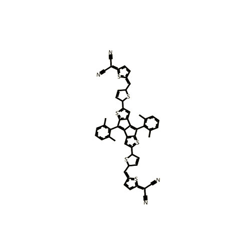 Cc1cccc(C)c1C1=C2C(=C(c3c(C)cccc3C)c3sc(C4C=CC(/C=c5/ccc(=C(C#N)C#N)s5)S4)cc32)c2cc(C3C=CC(/C=c4/ccc(=C(C#N)C#N)s4)S3)sc21